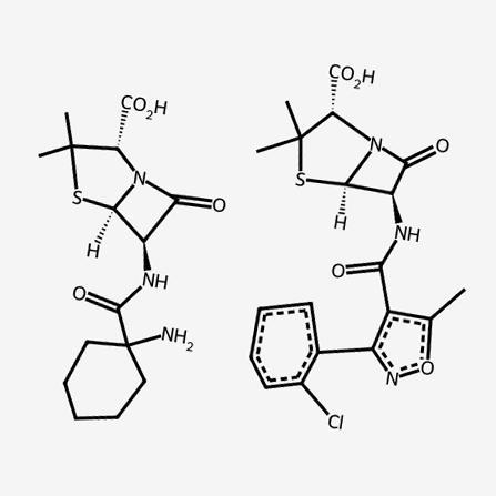 CC1(C)S[C@@H]2[C@H](NC(=O)C3(N)CCCCC3)C(=O)N2[C@H]1C(=O)O.Cc1onc(-c2ccccc2Cl)c1C(=O)N[C@@H]1C(=O)N2[C@@H]1SC(C)(C)[C@@H]2C(=O)O